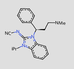 CNCC[C@H](c1ccccc1)n1c(=NC#N)n(C(C)C)c2ccccc21